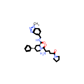 Cn1nnc2cc(CNC(=O)[C@@H]3C[C@H](c4ccccc4)CCN3C(=O)[C@H](N)CCC(=O)N3CCCC3)ccc21